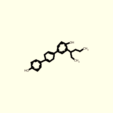 CCCC(CC)c1cc(C2=CCC(c3ccc(O)cc3)=CC2)ccc1O